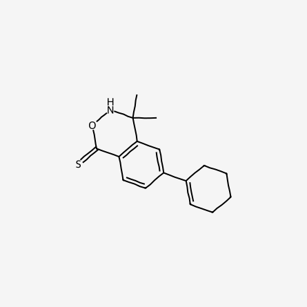 CC1(C)NOC(=S)c2ccc(C3=CCCCC3)cc21